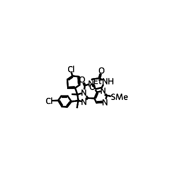 CCOc1nc(SC)ncc1C1=NC(C)(c2ccc(Cl)cc2)C(C)(c2ccc(Cl)cc2)N1C(=O)N1CCNC(=O)C1